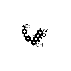 C=C1C2=C(C)[C@]3(C)C(=O)C(C(C)=O)=C(C)C[C@@H]3C[C@@H]2Cc2c(-c3ccc(CC4CCC(C(=C)CC)CC4)cc3)ccc(O)c21